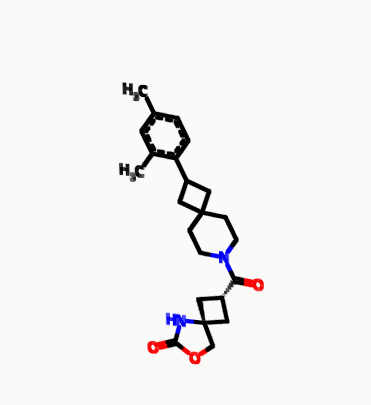 Cc1ccc(C2CC3(CCN(C(=O)[C@H]4C[C@]5(COC(=O)N5)C4)CC3)C2)c(C)c1